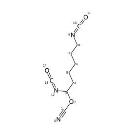 N#COC(CCCCCN=C=O)N=C=O